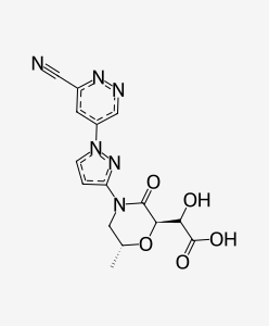 C[C@@H]1CN(c2ccn(-c3cnnc(C#N)c3)n2)C(=O)[C@@H](C(O)C(=O)O)O1